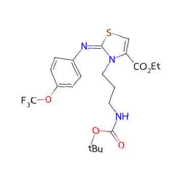 CCOC(=O)c1csc(=Nc2ccc(OC(F)(F)F)cc2)n1CCCNC(=O)OC(C)(C)C